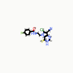 N#Cc1c(Cl)n(CCNC(=O)c2ccc(F)cc2)c2c(=S)[nH]cnc12